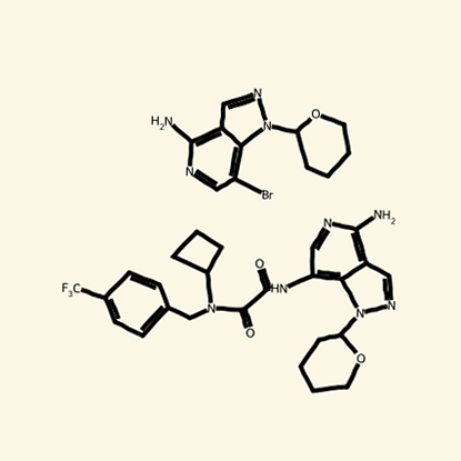 Nc1ncc(Br)c2c1cnn2C1CCCCO1.Nc1ncc(NC(=O)C(=O)N(Cc2ccc(C(F)(F)F)cc2)C2CCC2)c2c1cnn2C1CCCCO1